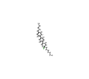 CCCCCCCC1(F)CCC(c2ccc(-c3ccc(CCCCC)cc3)cc2)CC1